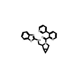 O=C(c1ncccc1-c1cccnc1)N1CC2CC2C1CNc1nc2ccccc2o1